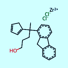 CC(CCCO)(C1=CC=CC1)c1cccc2c1Cc1ccccc1-2.[Cl-].[Cl-].[Zr+2]